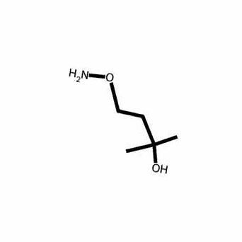 CC(C)(O)CCON